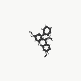 COc1ccc2c(c1)Oc1cc(OC)cc3c1c-2[n+](C)c1ccccc31